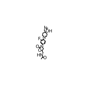 CC(=O)NCC1CN(c2ccc(N3CCC(O)(CN(C)C)CC3)c(F)c2)C(=O)O1